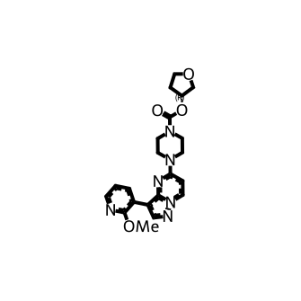 COc1ncccc1-c1cnn2ccc(N3CCN(C(=O)O[C@@H]4CCOC4)CC3)nc12